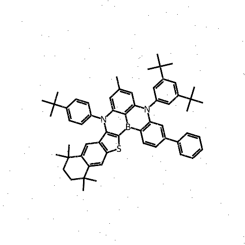 Cc1cc2c3c(c1)N(c1ccc(C(C)(C)C)cc1)c1c(sc4cc5c(cc14)C(C)(C)CCC5(C)C)B3c1ccc(-c3ccccc3)cc1N2c1cc(C(C)(C)C)cc(C(C)(C)C)c1